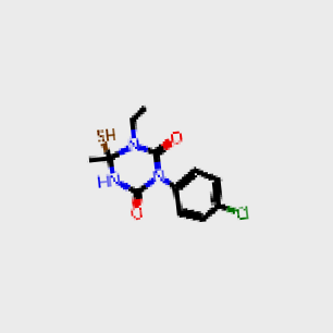 CCN1C(=O)N(c2ccc(Cl)cc2)C(=O)NC1(C)S